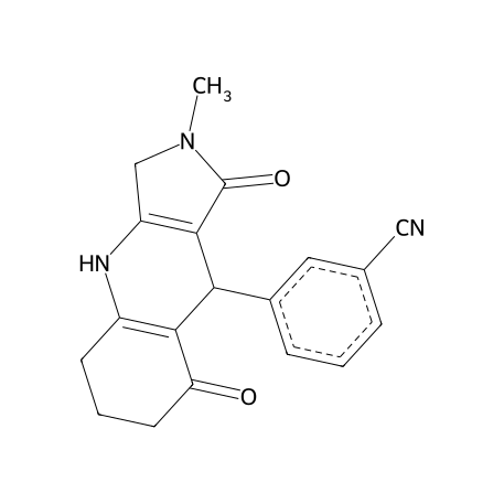 CN1CC2=C(C1=O)C(c1cccc(C#N)c1)C1=C(CCCC1=O)N2